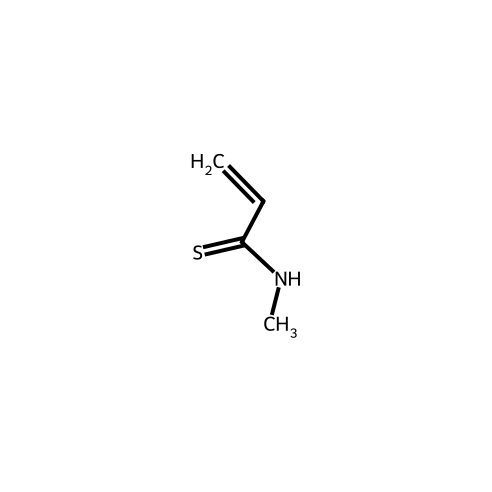 C=CC(=S)NC